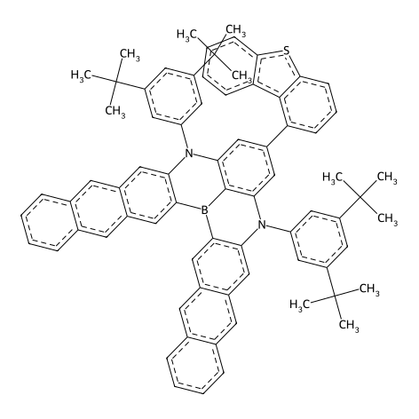 CC(C)(C)c1cc(N2c3cc4cc5ccccc5cc4cc3B3c4cc5cc6ccccc6cc5cc4N(c4cc(C(C)(C)C)cc(C(C)(C)C)c4)c4cc(-c5cccc6sc7ccccc7c56)cc2c43)cc(C(C)(C)C)c1